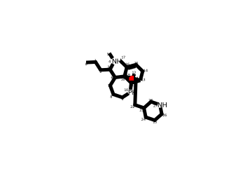 CCCC(NC)C1CCCPC2(C)C3CC=C(C)C12CCN(CC1CCCNC1)C3